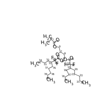 C=C(C)C(=O)OCC(COC(=O)C(F)(F)C(CCCC)CCCCC)OC(=O)C(F)(F)C(CCCC)CCCCC